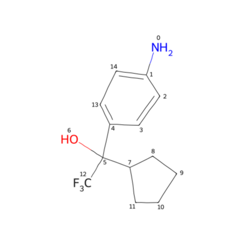 Nc1ccc(C(O)(C2CCCC2)C(F)(F)F)cc1